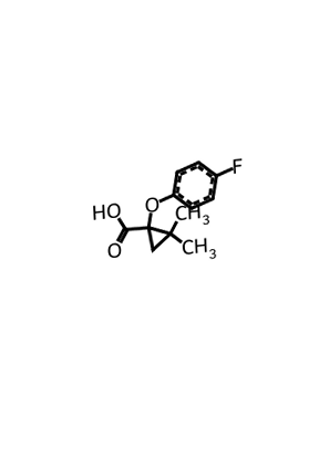 CC1(C)CC1(Oc1ccc(F)cc1)C(=O)O